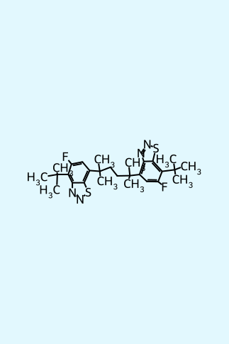 CC(C)(C)c1c(F)cc(C(C)(C)CCC(C)(C)c2cc(F)c(C(C)(C)C)c3snnc23)c2snnc12